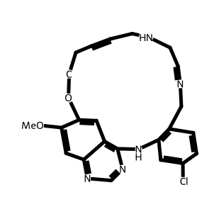 COc1cc2ncnc3c2cc1OCC/C=C\CNC/C=N\Cc1ccc(Cl)cc1N3